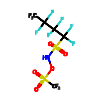 O=S(=O)(NOS(=O)(=O)C(F)(F)F)C(F)(F)C(F)(F)C(F)(F)C(F)(F)F